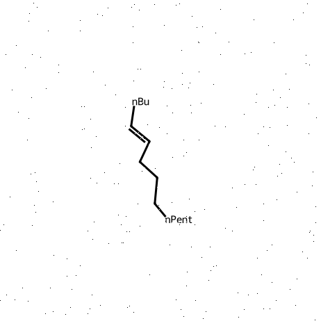 C[CH]CCCCCCC=CCCCC